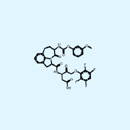 COc1cccc(OC(=O)NC2CCc3cccc4c3N(C2=O)C(C(=O)NC(CC(=O)O)C(=O)COc2c(F)c(F)cc(F)c2F)C4)c1